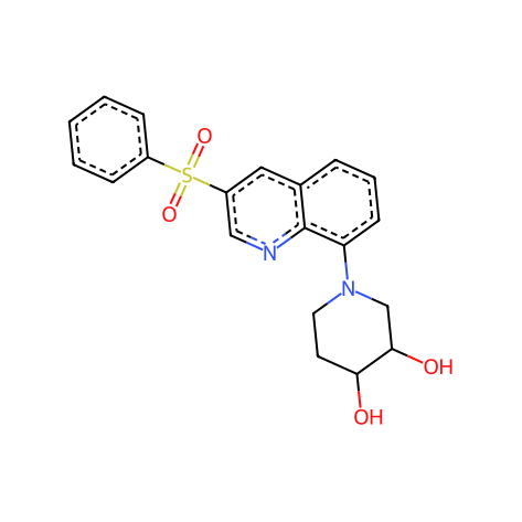 O=S(=O)(c1ccccc1)c1cnc2c(N3CCC(O)C(O)C3)cccc2c1